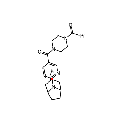 CC(C)C(=O)N1CCN(C(=O)c2cnc(N3C4CCC3CN(C(C)C)C4)nc2)CC1